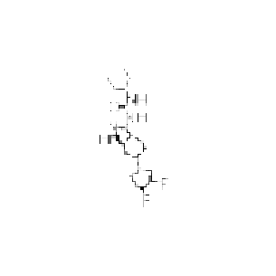 CCC(CC)NC(=O)Nc1n[nH]c2cc(-c3ccc(F)c(F)c3)ccc12